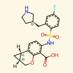 O=C(O)c1c(NS(=O)(=O)c2ccc(F)cc2C[C@H]2CCNC2)ccc2c1OC[C@@H]1C[C@H]21